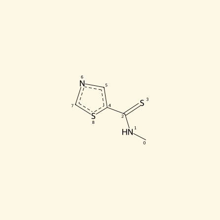 CNC(=S)c1cncs1